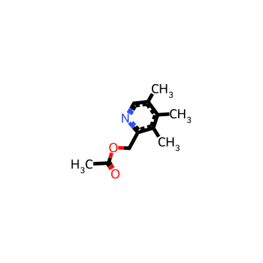 CC(=O)OCc1ncc(C)c(C)c1C